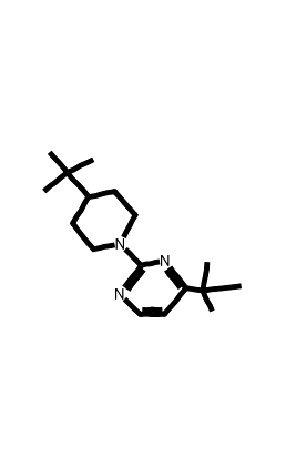 CC(C)(C)c1ccnc(N2CCC(C(C)(C)C)CC2)n1